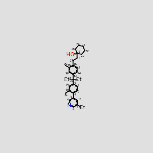 CCc1cncc(-c2ccc(C(CC)(CC)c3ccc(CCC4(O)CCCCC4)c(C)c3)cc2C)c1